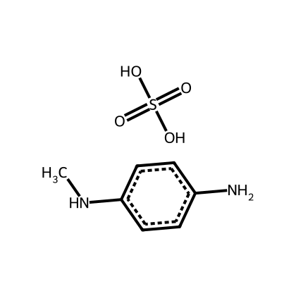 CNc1ccc(N)cc1.O=S(=O)(O)O